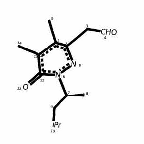 Cc1c(CC=O)nn([C@@H](C)CC(C)C)c(=O)c1C